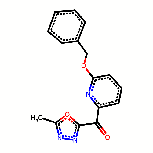 Cc1nnc(C(=O)c2cccc(OCc3ccccc3)n2)o1